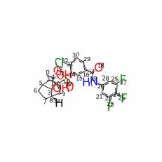 CC(O)[C@@]1(O)C2CC[C@H]1C[C@H](S(=O)(=O)c1cc(C(=O)Nc3cc(F)c(F)c(F)c3)ccc1Cl)C2